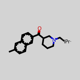 C[C](C)CN1CCCC(C(=O)c2ccc3cc(C)ccc3c2)C1